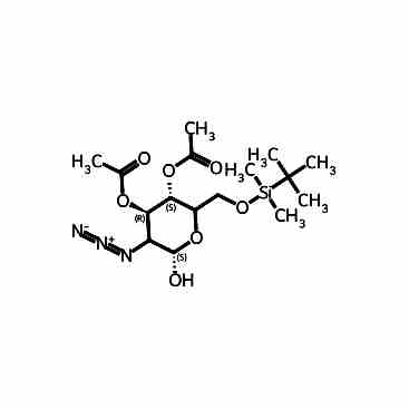 CC(=O)O[C@@H]1C(CO[Si](C)(C)C(C)(C)C)O[C@H](O)C(N=[N+]=[N-])[C@H]1OC(C)=O